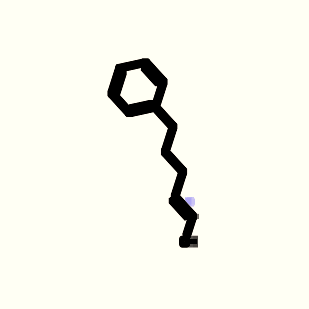 O/[C]=C/CCCc1ccccc1